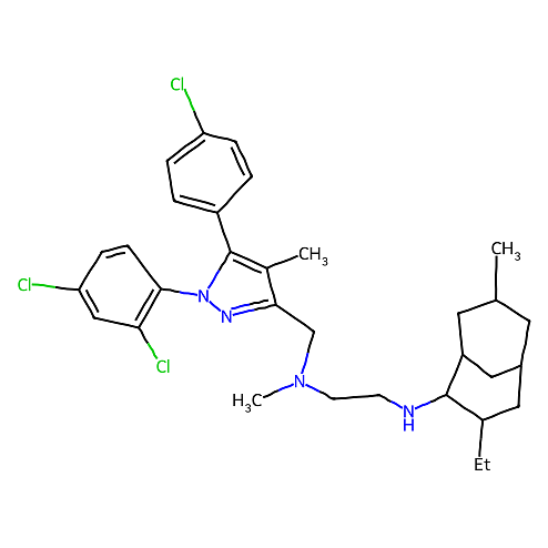 CCC1CC2CC(C)CC(C2)C1NCCN(C)Cc1nn(-c2ccc(Cl)cc2Cl)c(-c2ccc(Cl)cc2)c1C